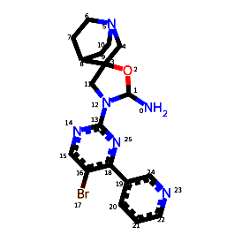 NC1OC2(CN3CCC2CC3)CN1c1ncc(Br)c(-c2cccnc2)n1